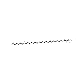 O=P(O)(O)CCCCCCCCCCCCCCCCCCCCCCCCCCCCCCCBr